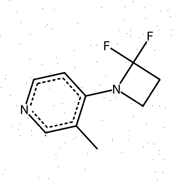 Cc1[c]nccc1N1CCC1(F)F